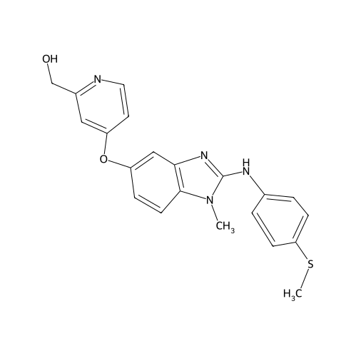 CSc1ccc(Nc2nc3cc(Oc4ccnc(CO)c4)ccc3n2C)cc1